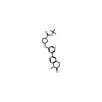 CN1C(=O)CCc2cc(-c3cncc(O[C@H]4CCN(C(=O)OC(C)(C)C)C4)c3)ccc21